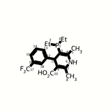 CCP(CC)C1=C(C)NC(C)=C(C(=O)O)C1c1cccc(C(F)(F)F)c1